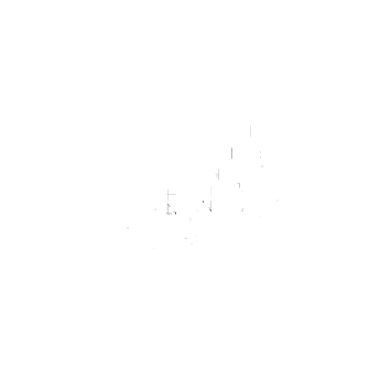 O=C(NCc1cccc(C(F)(F)F)c1F)NC1CC2(CC2)C1